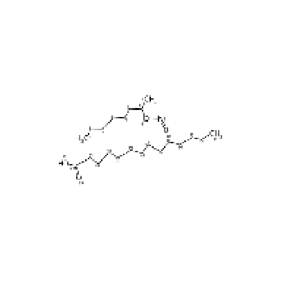 CCCCCCC(C)ON=O.CCCCCCCCCCCCCC(=O)O